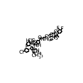 COc1cc(C(=O)NCCOCCOCCOc2c(-c3csc(N4CCOCC4)n3)ccc(F)c2F)ccc1NC(=O)[C@H]1[C@H](c2cccc(Cl)c2F)[C@H](c2ccc(Cl)cc2F)[C@H](CC(C)(C)C)N1C#N